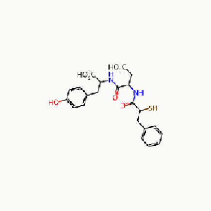 O=C(O)CC(NC(=O)C(S)Cc1ccccc1)C(=O)NC(Cc1ccc(O)cc1)C(=O)O